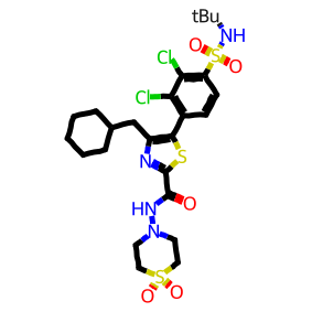 CC(C)(C)NS(=O)(=O)c1ccc(-c2sc(C(=O)NN3CCS(=O)(=O)CC3)nc2CC2CCCCC2)c(Cl)c1Cl